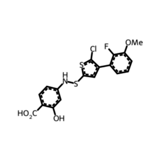 COc1cccc(-c2cc(SNc3ccc(C(=O)O)c(O)c3)sc2Cl)c1F